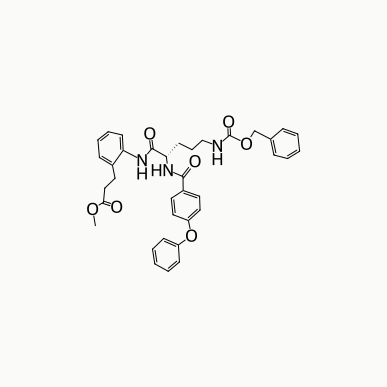 COC(=O)CCc1ccccc1NC(=O)[C@H](CCCNC(=O)OCc1ccccc1)NC(=O)c1ccc(Oc2ccccc2)cc1